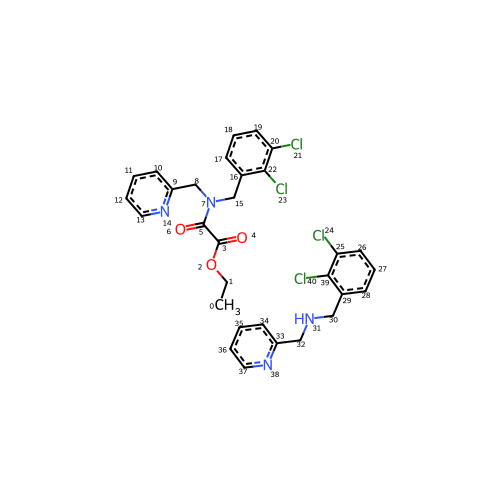 CCOC(=O)C(=O)N(Cc1ccccn1)Cc1cccc(Cl)c1Cl.Clc1cccc(CNCc2ccccn2)c1Cl